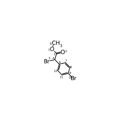 COC(=O)C(Br)c1ccc(Br)cc1